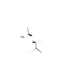 C=C/C(C)=N\C=C(/C)C(C)F